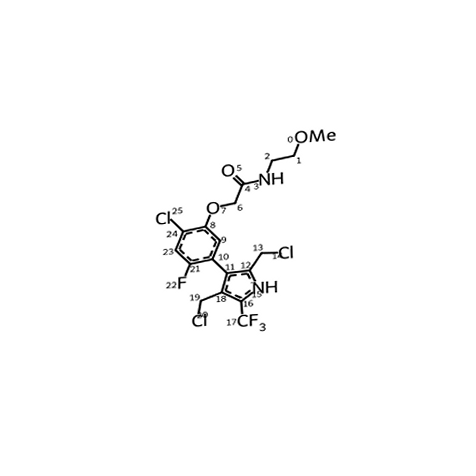 COCCNC(=O)COc1cc(-c2c(CCl)[nH]c(C(F)(F)F)c2CCl)c(F)cc1Cl